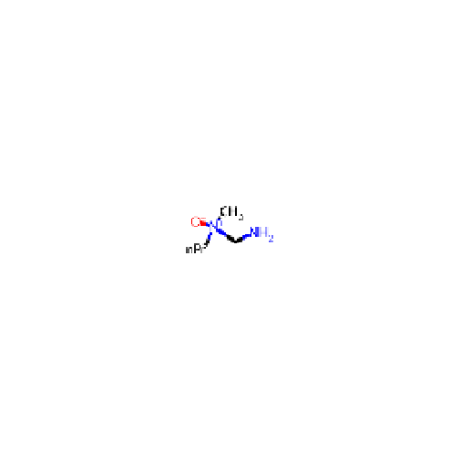 CCC[N+](C)([O-])CN